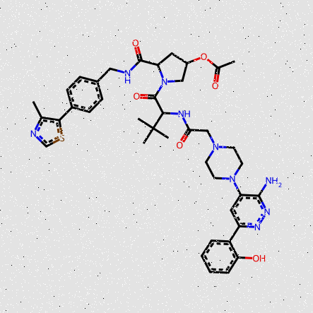 CC(=O)OC1CC(C(=O)NCc2ccc(-c3scnc3C)cc2)N(C(=O)C(NC(=O)CN2CCN(c3cc(-c4ccccc4O)nnc3N)CC2)C(C)(C)C)C1